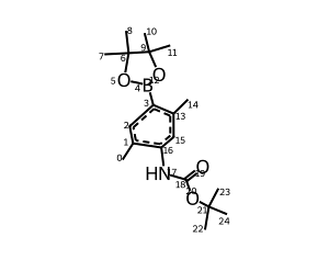 Cc1cc(B2OC(C)(C)C(C)(C)O2)c(C)cc1NC(=O)OC(C)(C)C